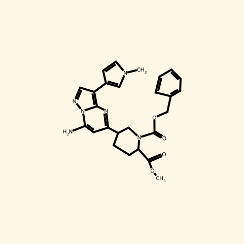 COC(=O)C1CCC(c2cc(N)n3ncc(-c4ccn(C)c4)c3n2)CN1C(=O)OCc1ccccc1